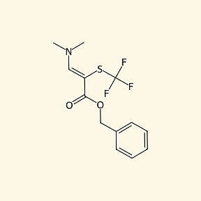 CN(C)/C=C(\SC(F)(F)F)C(=O)OCc1ccccc1